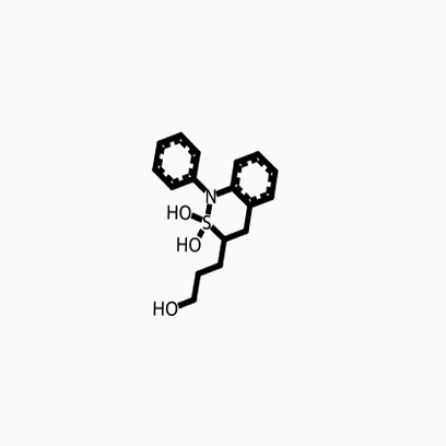 OCCCC1Cc2ccccc2N(c2ccccc2)S1(O)O